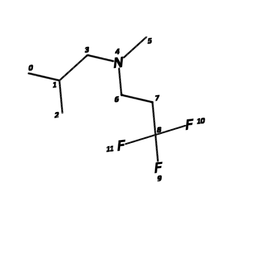 CC(C)CN(C)CCC(F)(F)F